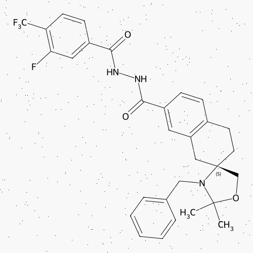 CC1(C)OC[C@@]2(CCc3ccc(C(=O)NNC(=O)c4ccc(C(F)(F)F)c(F)c4)cc3C2)N1Cc1ccccc1